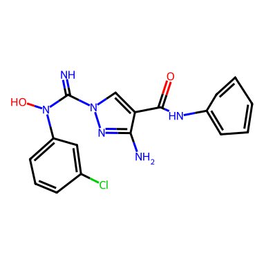 N=C(N(O)c1cccc(Cl)c1)n1cc(C(=O)Nc2ccccc2)c(N)n1